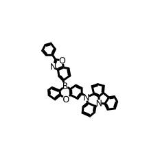 c1ccc(-c2nc3cc(B4c5ccccc5Oc5cc(N6c7ccccc7-n7c8ccccc8c8cccc6c87)ccc54)ccc3o2)cc1